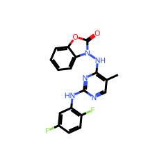 Cc1cnc(Nc2cc(F)ccc2F)nc1Nn1c(=O)oc2ccccc21